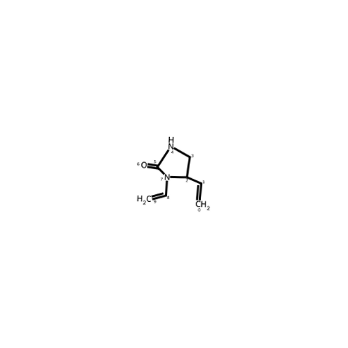 C=CC1CNC(=O)N1C=C